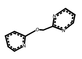 c1ccc(OCc2ncccn2)nc1